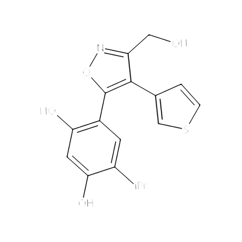 CC(C)c1cc(-c2onc(CO)c2-c2ccsc2)c(O)cc1O